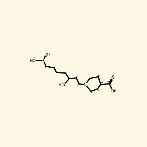 NC(CCCCB(O)O)CCN1CCC(C(=O)O)CC1